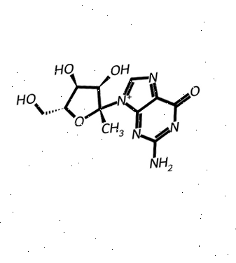 C[C@@]1([N+]2=CN=C3C(=O)N=C(N)N=C32)O[C@H](CO)[C@@H](O)[C@H]1O